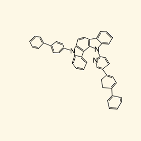 C1=C(c2ccccc2)CCC(c2ccc(-n3c4ccccc4c4ccc5c(c6ccccc6n5-c5ccc(-c6ccccc6)cc5)c43)nc2)=C1